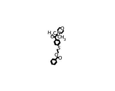 CC(C)(C(=O)c1ccc(SCCOC(=O)c2ccccc2)cc1)N1CCOCC1